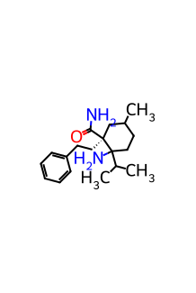 CC1CCC(N)(C(C)C)[C@@](CCc2ccccc2)(C(N)=O)C1